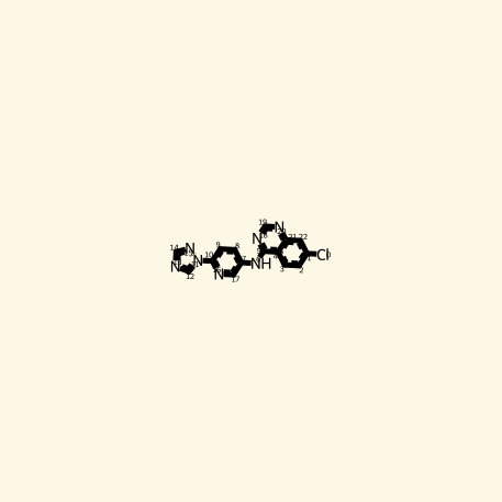 Clc1ccc2c(Nc3ccc(-n4cncn4)nc3)ncnc2c1